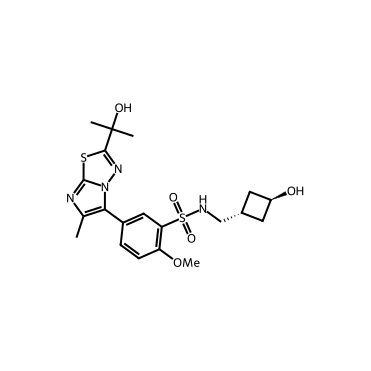 COc1ccc(-c2c(C)nc3sc(C(C)(C)O)nn23)cc1S(=O)(=O)NC[C@H]1C[C@H](O)C1